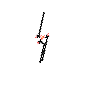 CCCCCCCCCCCCCCCCC1(COP(OCC2(CCCCCCCCCCCCCCCC)COC2)OCC2(CCCCCCCCCCCCCCCC)COC2)COC1